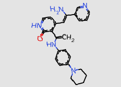 C=C(Nc1ccc(N2CCCCC2)cc1)c1c(/C=C(\N)c2cccnc2)cc[nH]c1=O